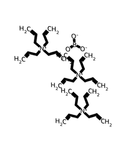 C=CC[N+](CC=C)(CC=C)CC=C.C=CC[N+](CC=C)(CC=C)CC=C.C=CC[N+](CC=C)(CC=C)CC=C.[O-]B([O-])[O-]